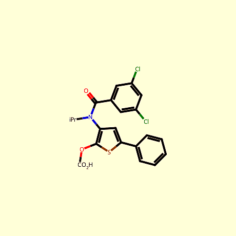 CC(C)N(C(=O)c1cc(Cl)cc(Cl)c1)c1cc(-c2ccccc2)sc1OC(=O)O